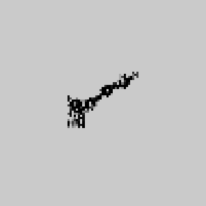 N#Cc1ccc(COc2ccc(C#Cc3ccc(C(F)(F)C(O)(CN4C=NNN4)c4ccc(F)cc4F)nc3)cc2)cn1